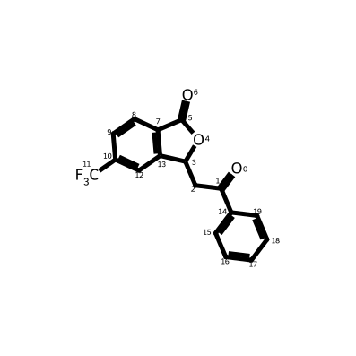 O=C(CC1OC(=O)c2ccc(C(F)(F)F)cc21)c1ccccc1